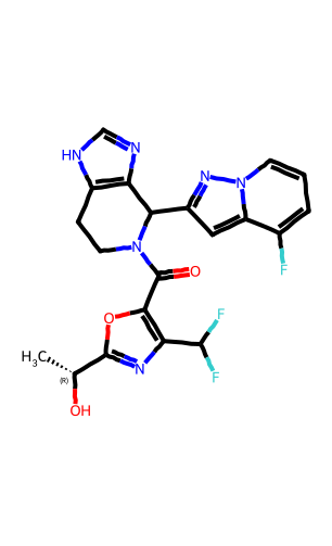 C[C@@H](O)c1nc(C(F)F)c(C(=O)N2CCc3[nH]cnc3C2c2cc3c(F)cccn3n2)o1